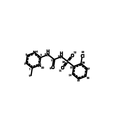 Cc1ccnc(NC(=O)NS(=O)(=O)c2ccccc2Cl)n1